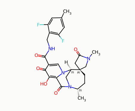 Cc1cc(F)c(CNC(=O)c2cn3c(c(O)c2=O)C(=O)N2C[C@@H]3[C@]3(CC[C@@H]2C)CC(=O)N(C)C3)c(F)c1